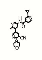 Cc1ncc(NC(=O)c2ccnc(C3CC3)c2)cc1-c1cnc(N2CCOCC2)c(C#N)c1